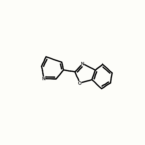 [c]1cccc2oc(-c3cccnc3)nc12